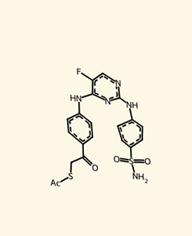 CC(=O)SCC(=O)c1ccc(Nc2nc(Nc3ccc(S(N)(=O)=O)cc3)ncc2F)cc1